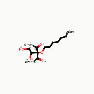 CCCCCCCCCCCCCCCCOC(C(=O)CCCCC)(C(=O)CCCCC)C(O)CO